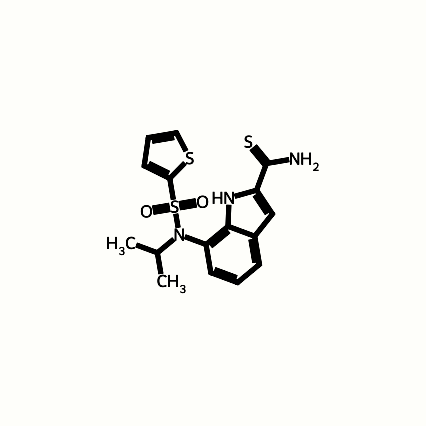 CC(C)N(c1cccc2cc(C(N)=S)[nH]c12)S(=O)(=O)c1cccs1